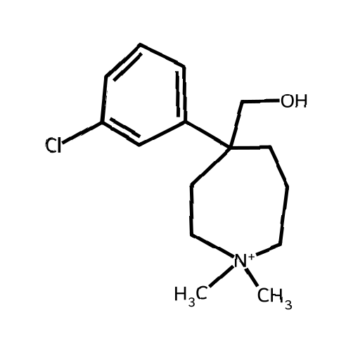 C[N+]1(C)CCCC(CO)(c2cccc(Cl)c2)CC1